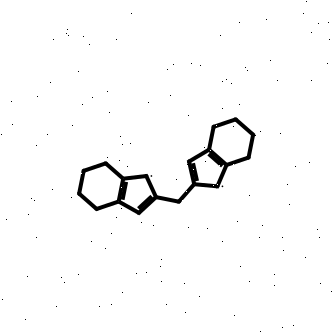 [CH]1C(CC2=CC3=C([CH]2)CCCC3)=CC2=C1CCCC2